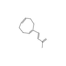 C=C(C)C=C/C1=C/CC/C=C\CC1